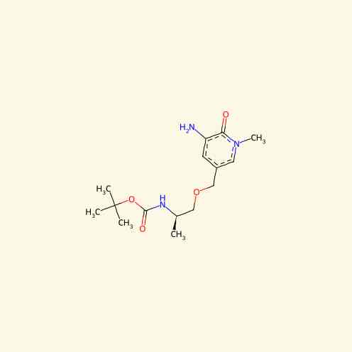 C[C@H](COCc1cc(N)c(=O)n(C)c1)NC(=O)OC(C)(C)C